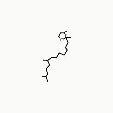 CC(C)CCC[C@@H](C)CCC[C@@H](C)CCCC1(C)OCCO1